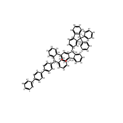 c1ccc(-c2ccc(-c3ccc(N(c4ccccc4)c4ccccc4-c4ccc5c6ccccc6n(-c6ccc7c(c6)C(c6ccccc6)(c6ccccc6)c6ccccc6-7)c5c4)cc3)cc2)cc1